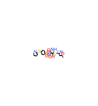 Cc1cc(CSC(C)(C)[C@H](C(N)=O)N(O)S(=O)(=O)c2ccc(Sc3ccccn3)cc2)no1